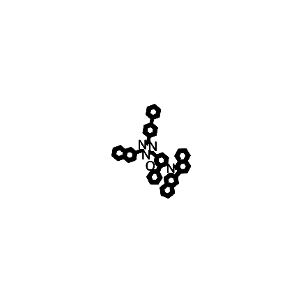 c1ccc(-c2ccc(-c3nc(-c4ccc5ccccc5c4)nc(-c4ccc(-n5c6cc7ccccc7cc6c6ccc7ccccc7c65)c5c4oc4ccccc45)n3)cc2)cc1